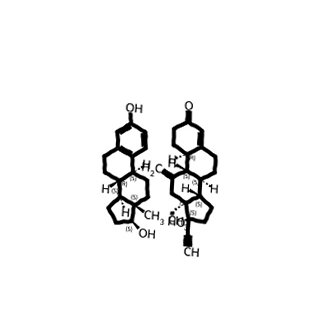 C#C[C@]1(O)CC[C@H]2[C@@H]3CCC4=CC(=O)CC[C@@H]4[C@H]3C(=C)C[C@@]21CC.C[C@]12CC[C@@H]3c4ccc(O)cc4CC[C@H]3[C@@H]1CC[C@@H]2O